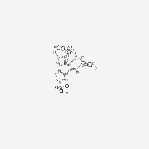 CCOC(=O)Cc1cc(-c2ccc(S(C)(=O)=O)cc2)n(-c2ccc(C(F)(F)F)cc2)c1C